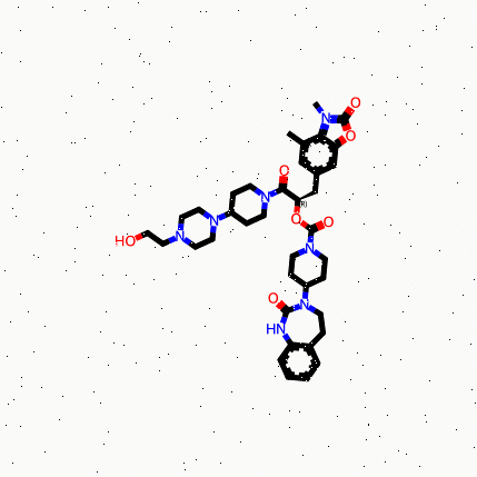 Cc1cc(C[C@@H](OC(=O)N2CCC(N3CCc4ccccc4NC3=O)CC2)C(=O)N2CCC(N3CCN(CCO)CC3)CC2)cc2oc(=O)n(C)c12